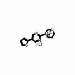 Cl.c1csc(-c2cnc(N3CCN4CCC3CC4)nc2)c1